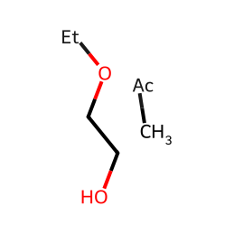 CC(C)=O.CCOCCO